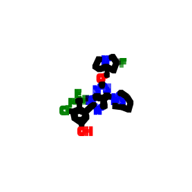 Oc1cc(Cl)c(C(F)(F)F)c(-c2ncc3c(N4CC5CCC(C4)N5)nc(OC[C@@]45CCCN4C[C@H](F)C5)nc3n2)c1